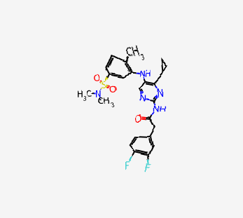 Cc1ccc(S(=O)(=O)N(C)C)cc1Nc1cnc(NC(=O)Cc2ccc(F)c(F)c2)nc1C1CC1